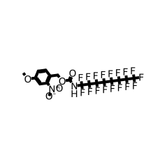 COc1ccc(COC(=O)NC(F)(F)C(F)(F)C(F)(F)C(F)(F)C(F)(F)C(F)(F)C(F)(F)C(F)(F)F)c([N+](=O)[O-])c1